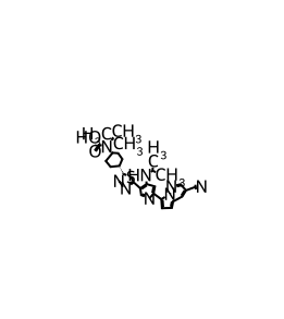 CC(C)Nc1cc(-c2ccc3cc(C#N)cnn23)ncc1-c1nnc([C@H]2CC[C@H](N(C(=O)O)C(C)(C)C)CC2)s1